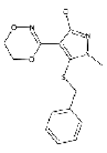 Cn1nc(Cl)c(C2=NOCCO2)c1SCc1ccccc1